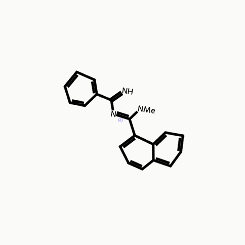 CN/C(=N\C(=N)c1ccccc1)c1cccc2ccccc12